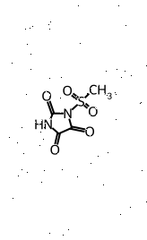 CS(=O)(=O)N1C(=O)NC(=O)C1=O